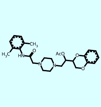 CC(=O)OC(CN1CCN(CC(=O)Nc2c(C)cccc2C)CC1)C1COc2ccccc2O1